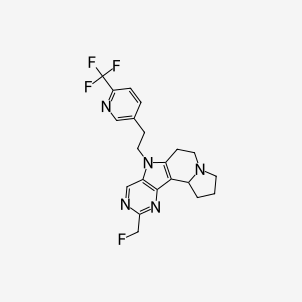 FCc1ncc2c(n1)c1c(n2CCc2ccc(C(F)(F)F)nc2)CCN2CCCC12